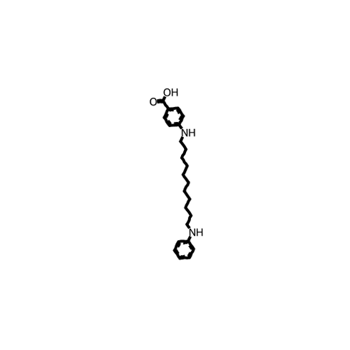 O=C(O)c1ccc(NCCCCCCCCCCCNc2ccccc2)cc1